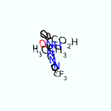 CC(C)(C(=O)NC1C2CC3CC(C2)CC1(C(=O)O)C3)N1CCN(c2ccc(C(F)(F)F)cn2)CC1